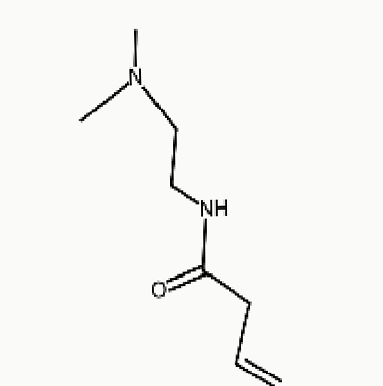 C=CCC(=O)NCCN(C)C